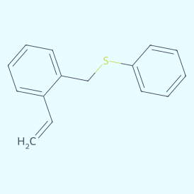 C=Cc1ccccc1CSc1ccccc1